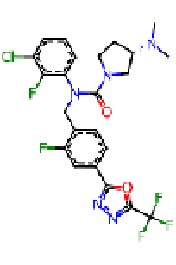 CN(C)[C@H]1CCN(C(=O)N(Cc2ccc(-c3nnc(C(F)(F)F)o3)cc2F)c2cccc(Cl)c2F)C1